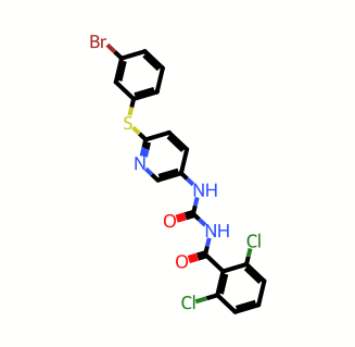 O=C(NC(=O)c1c(Cl)cccc1Cl)Nc1ccc(Sc2cccc(Br)c2)nc1